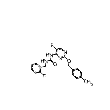 Cc1ccc(COc2ncc(F)c(NC(=O)NCc3ccccc3F)n2)cc1